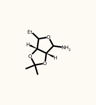 CCC1OC(N)[C@@H]2OC(C)(C)O[C@H]12